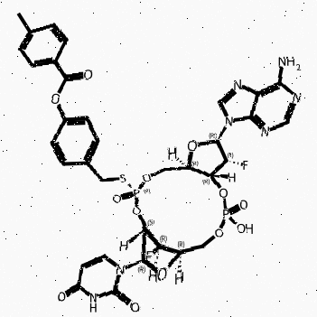 Cc1ccc(C(=O)Oc2ccc(CS[P@]3(=O)OC[C@H]4O[C@@H](n5cnc6c(N)ncnc65)[C@H](F)[C@@H]4OP(=O)(O)OC[C@H]4O[C@@H](n5ccc(=O)[nH]c5=O)[C@H](O3)[C@@H]4F)cc2)cc1